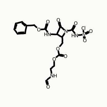 O=CNCCOC(=O)OCC1C(NC(=O)OCc2ccccc2)C(=O)N1C(=O)NS(=O)(=O)Cl